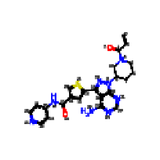 C=CC(=O)N1CCCC(n2nc(-c3cc(C(=O)Nc4ccncc4)cs3)c3c(N)ncnc32)C1